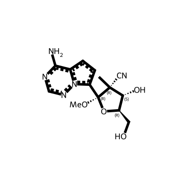 CO[C@@]1(c2ccc3c(N)ncnn23)O[C@H](CO)[C@@H](O)[C@@]1(C)C#N